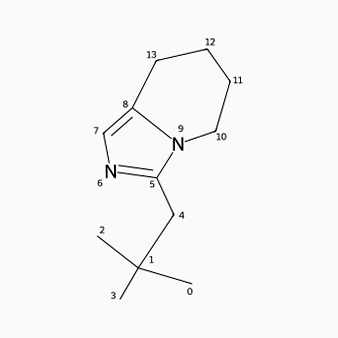 CC(C)(C)Cc1ncc2n1CCCC2